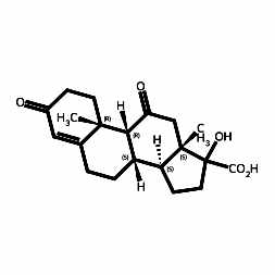 C[C@]12CCC(=O)C=C1CC[C@@H]1[C@H]2C(=O)C[C@@]2(C)[C@H]1CCC2(O)C(=O)O